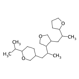 CC(C)C1CCC(CC(C)C2COCC2CC(C)C2CCCO2)CO1